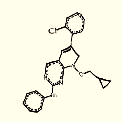 Clc1ccccc1C1=Cc2cnc(Nc3ccccc3)nc2N(OCC2CC2)C1